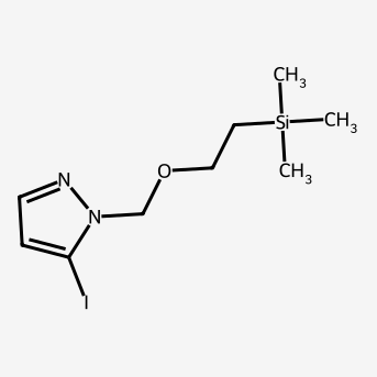 C[Si](C)(C)CCOCn1nccc1I